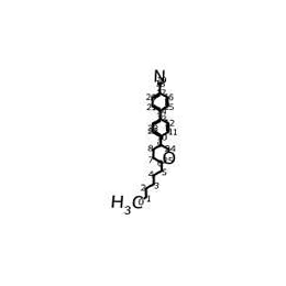 CCCCCCC1CCC(c2ccc(-c3ccc(C#N)cc3)cc2)CO1